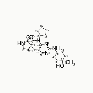 C[C@]1(O)CC[C@@H](Nc2ncc3c(n2)N(C2CCCC2)C(=O)[C@]2(CCNC2=O)C3)CC1